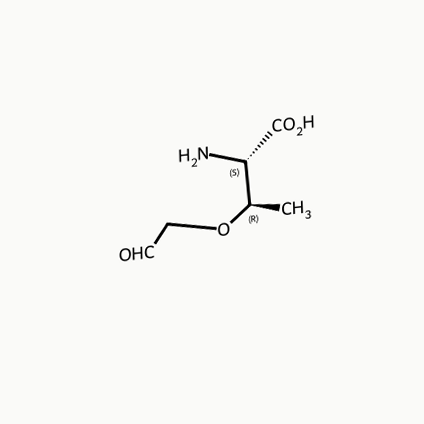 C[C@@H](OCC=O)[C@H](N)C(=O)O